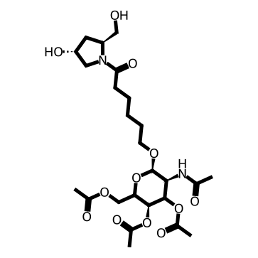 CC(=O)N[C@H]1C(OC(C)=O)[C@@H](OC(C)=O)C(COC(C)=O)O[C@H]1OCCCCCC(=O)N1C[C@H](O)C[C@H]1CO